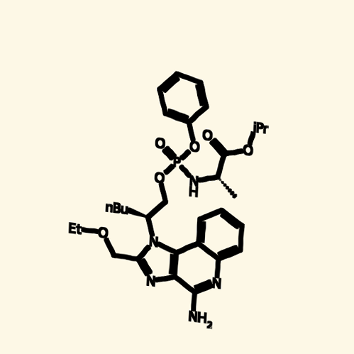 CCCC[C@@H](COP(=O)(N[C@@H](C)C(=O)OC(C)C)Oc1ccccc1)n1c(COCC)nc2c(N)nc3ccccc3c21